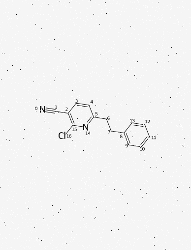 N#Cc1ccc(CCc2ccccc2)nc1Cl